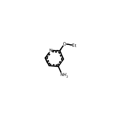 CCOc1cc(N)ccn1